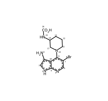 Nc1c[nH]c2ncc(Br)c(N3CCCC(NC(=O)O)C3)c12